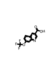 O=C(O)c1cnc2cc(OC(F)(F)F)ccc2c1